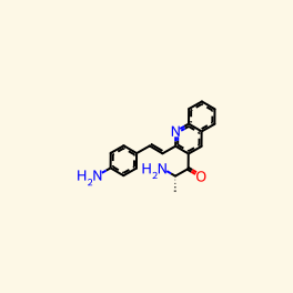 C[C@H](N)C(=O)c1cc2ccccc2nc1C=Cc1ccc(N)cc1